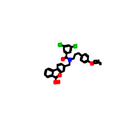 COc1ccc(CCCN(Cc2ccc(-c3ccccc3C(=O)O)cc2)C(=O)c2cc(Cl)cc(Cl)c2)cc1